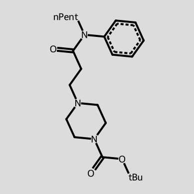 CCCCCN(C(=O)CCN1CCN(C(=O)OC(C)(C)C)CC1)c1ccccc1